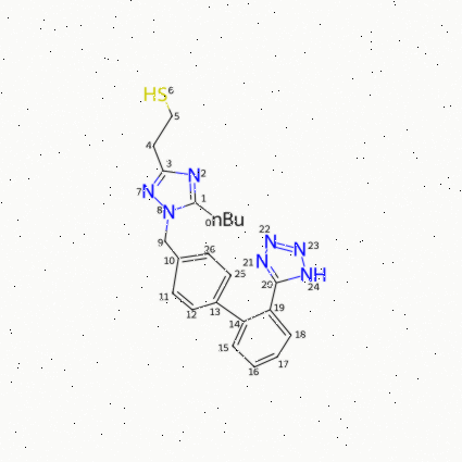 CCCCc1nc(CCS)nn1Cc1ccc(-c2ccccc2-c2nnn[nH]2)cc1